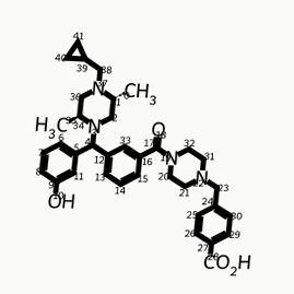 C[C@@H]1CN(C(c2cccc(O)c2)c2cccc(C(=O)N3CCN(Cc4ccc(C(=O)O)cc4)CC3)c2)[C@@H](C)CN1CC1CC1